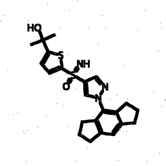 CC(C)(O)c1ccc(S(=N)(=O)c2cnn(-c3c4c(cc5c3CCC5)CCC4)c2)s1